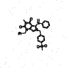 CC(C)Cn1c(=O)n(C)c(=O)c2c(Nc3ccccc3)n(Cc3ccc(S(C)(=O)=O)cc3)cc21